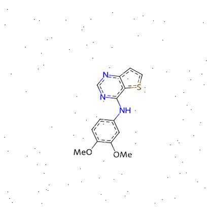 COc1ccc(Nc2ncnc3ccsc23)cc1OC